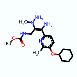 Cc1nc(/C(N)=C(\CNC(=O)OC(C)(C)C)N(C)N)ccc1OC1CCCCC1